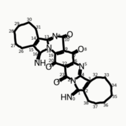 N=c1c2c(c3nc4c(=O)c5c(=O)nc6c7c(c(=N)n6c5c(=O)c4c(=O)n13)CCCCCC7)CCCCCCC2